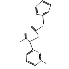 O=C(Nc1ccccc1)NC(C(=O)O)c1cccc(Cl)c1